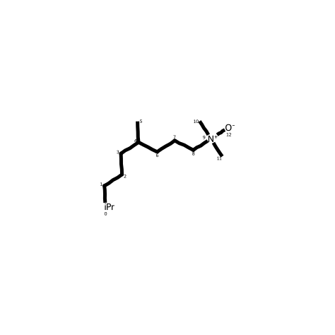 CC(C)CCCC(C)CCC[N+](C)(C)[O-]